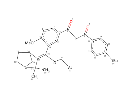 COc1ccc(C(=O)CC(=O)c2ccc(C(C)(C)C)cc2)cc1C(CCC(C)=O)=C1C2CCC(C2)C1(C)C